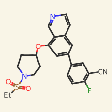 CCS(=O)(=O)N1CCC(Oc2cc(-c3ccc(F)c(C#N)c3)cc3ccncc23)CC1